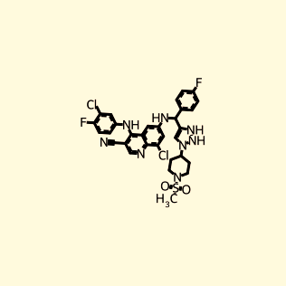 CS(=O)(=O)N1CCC(N2C=C(C(Nc3cc(Cl)c4ncc(C#N)c(Nc5ccc(F)c(Cl)c5)c4c3)c3ccc(F)cc3)NN2)CC1